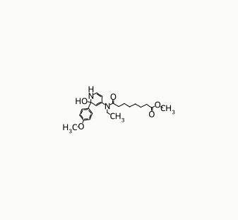 CCN(C(=O)CCCCCCC(=O)OC)C1=CC(O)(c2ccc(OC)cc2)NC=C1